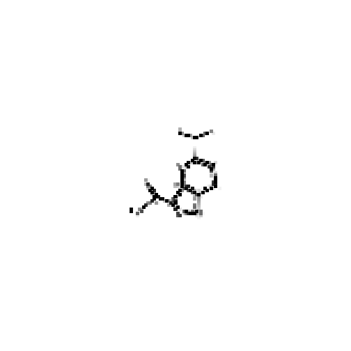 CC(C)c1ccc2[nH]nc(C(N)=O)c2n1